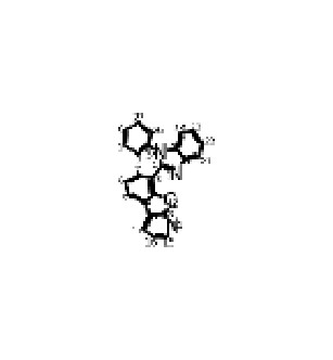 c1ccc(-n2c(-c3cccc4c3oc3ncccc34)nc3ccccc32)cc1